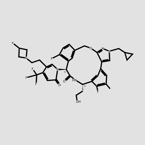 Cc1cc2cc(c1F)[C@H](CCO)NC(=O)[C@@H](n1cc(CCN3CC(F)C3)c(C(F)(F)F)cc1=O)c1cc(ccc1F)COc1nn(CC3CC3)cc1-2